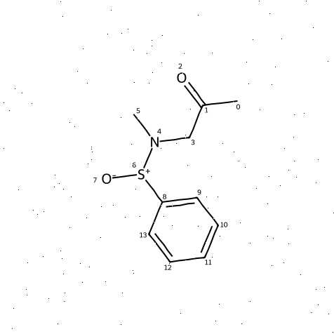 CC(=O)CN(C)[S+]([O-])c1ccccc1